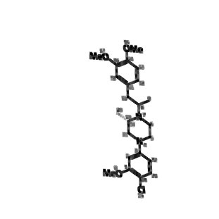 COc1cc(N2CCN(C(C)Cc3ccc(OC)c(OC)c3)[C@@H](C)C2)ccc1Cl